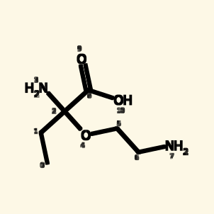 CCC(N)(OCCN)C(=O)O